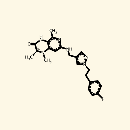 Cc1nc(NCc2cnn(CCc3ccc(F)cc3)c2)cc2c1NC(=O)[C@H](C)N2C